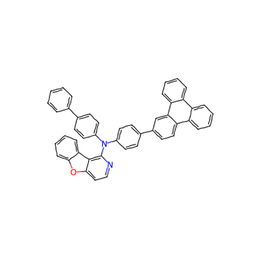 c1ccc(-c2ccc(N(c3ccc(-c4ccc5c6ccccc6c6ccccc6c5c4)cc3)c3nccc4oc5ccccc5c34)cc2)cc1